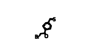 O=C(CBr)c1ccc(C=S)cc1